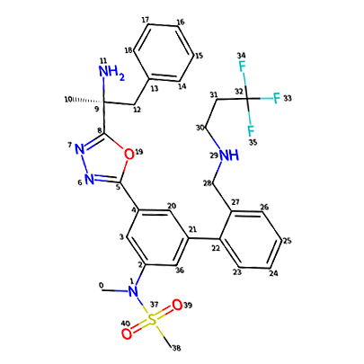 CN(c1cc(-c2nnc([C@@](C)(N)Cc3ccccc3)o2)cc(-c2ccccc2CNCCC(F)(F)F)c1)S(C)(=O)=O